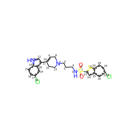 O=S(=O)(NCCCN1CC=C(c2c[nH]c3ccc(Cl)cc23)CC1)c1cc2cc(Cl)ccc2s1